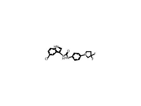 O=C(Nc1ccc(N2CCC(F)(F)C2)cc1)Nc1c[nH]c2ccc(Cl)cc12